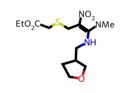 CCOC(=O)CSCC(=C(NC)NCC1CCOC1)[N+](=O)[O-]